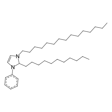 CCCCCCCCCCCCCCCN1C=CN(c2ccccc2)C1CCCCCCCCCCC